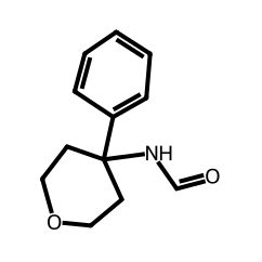 O=CNC1(c2ccccc2)CCOCC1